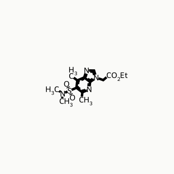 CCOC(=O)Cn1cnc2c(C)c(S(=O)(=O)N(C)C)c(C)nc21